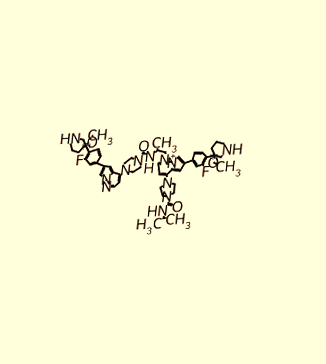 CO[C@]1(c2ccc(-c3cc4c(N5CCN(C(=O)NC(C)C)CC5)cc[n+](CC(C)NC(=O)N5CCN(c6ccnn7cc(-c8ccc([C@]9(OC)CCCNC9)c(F)c8)cc67)CC5)n4c3)cc2F)CCCNC1